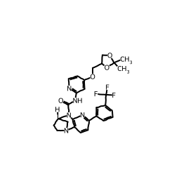 CC1(C)OCC(COc2ccnc(NC(=O)N3c4nc(-c5cccc(C(F)(F)F)c5)ccc4N4CC[C@H]3C4)c2)O1